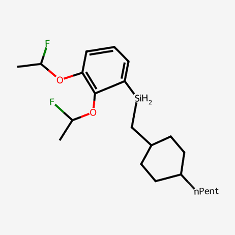 CCCCCC1CCC(C[SiH2]c2cccc(OC(C)F)c2OC(C)F)CC1